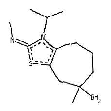 BC1(C)CCCc2c(s/c(=N/C)n2C(C)C)C1